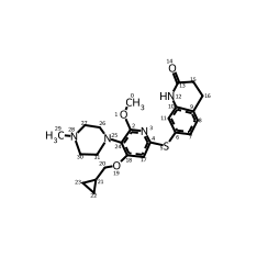 COc1nc(Sc2ccc3c(c2)NC(=O)CC3)cc(OCC2CC2)c1N1CCN(C)CC1